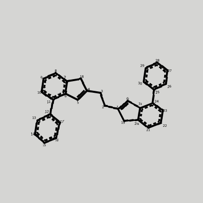 C1=C(CCC2=Cc3c(cccc3-c3ccccc3)C2)Cc2cccc(-c3ccccc3)c21